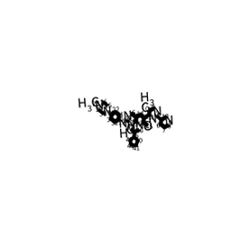 Cc1cnc(-c2cccnc2)nc1-c1cc2cnc(Nc3ccc(N4CCN(C)CC4)cc3)nc2n(CC(=O)C2CCCC2)c1=O